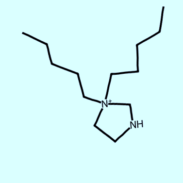 CCCCC[N+]1(CCCCC)CCNC1